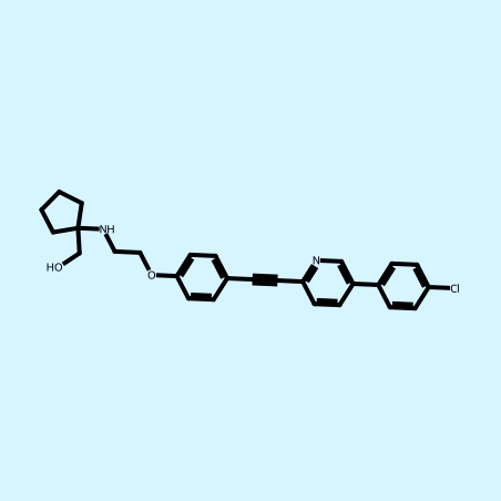 OCC1(NCCOc2ccc(C#Cc3ccc(-c4ccc(Cl)cc4)cn3)cc2)CCCC1